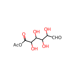 CC(=O)OC(=O)C(O)C(O)C(O)C(O)C=O